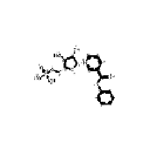 O=C(Sc1ccccc1)c1ccc[n+]([C@@H]2O[C@H](COP(=O)(O)O)[C@@H](O)[C@H]2O)c1